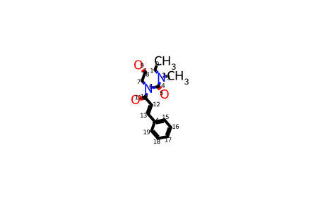 CCN(C)C(=O)N(C[C]=O)C(=O)/C=C/c1ccccc1